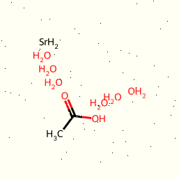 CC(=O)O.O.O.O.O.O.O.[SrH2]